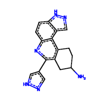 NC1CCc2c(c(-c3cn[nH]c3)nc3ccc4[nH]ncc4c23)C1